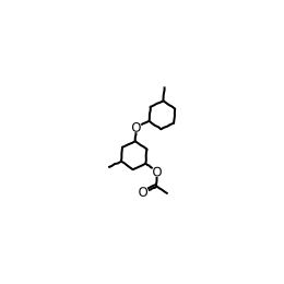 CC(=O)OC1CC(C)CC(OC2CCCC(C)C2)C1